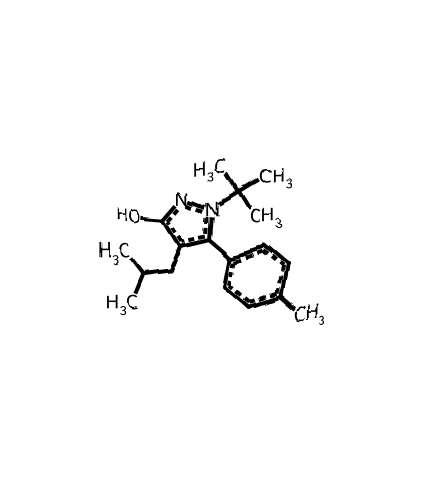 Cc1ccc(-c2c(CC(C)C)c(O)nn2C(C)(C)C)cc1